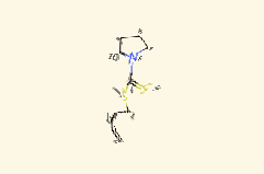 C=CCSC(=S)N1CCCC1